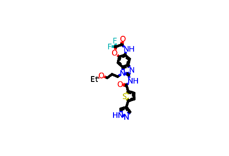 CCOCCCn1c(NC(=O)c2ccc(-c3cn[nH]c3)s2)nc2cc3c(cc21)OC(F)(F)C(=O)N3